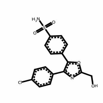 NS(=O)(=O)c1ccc(-c2oc(CO)nc2-c2ccc(Cl)cc2)cc1